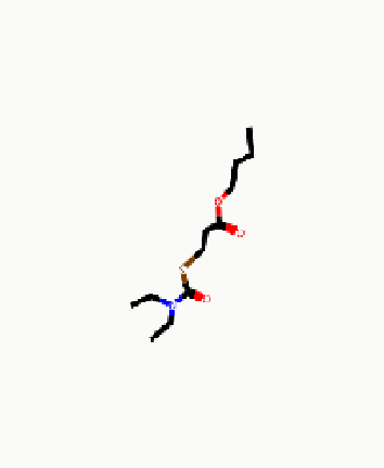 CCCCOC(=O)CCSC(=O)N(CC)CC